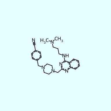 CN(C)CCCNc1nc(CN2CCN(Cc3ccc(C#N)cc3)CC2)nc2ccccc12